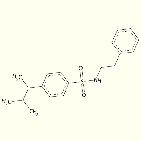 CC(C)C(C)c1ccc(S(=O)(=O)NCCc2ccccc2)cc1